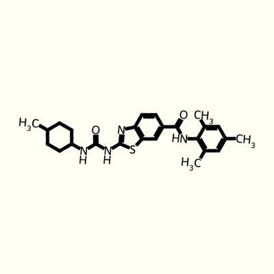 Cc1cc(C)c(NC(=O)c2ccc3nc(NC(=O)NC4CCC(C)CC4)sc3c2)c(C)c1